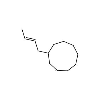 CC=CCC1C[CH]CCCCCC1